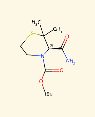 CC(C)(C)OC(=O)N1CCSC(C)(C)[C@H]1C(N)=O